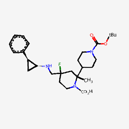 CC(C)(C)OC(=O)N1CCC(C2(C)CC(F)(CN[C@@H]3C[C@H]3c3ccccc3)CCN2C(=O)O)CC1